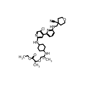 CCOC(=O)[C@@H](C)OC[C@H](C)NC1CCC(Nc2cc(-c3cccc(NCC4(C#N)CCOCC4)n3)c(Cl)cn2)CC1